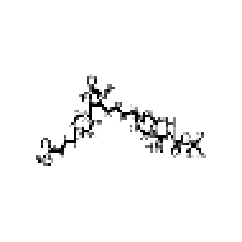 COC(=O)CCCN1CCN(C2OC(=O)N(C)C2CCCCN2CCN(C(=N)NC(=O)OC(C)(C)C)CC2)CC1